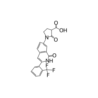 O=C(O)C1CCN(c2ccc3cc(-c4ccccc4C(F)(F)F)[nH]c(=O)c3c2)C1=O